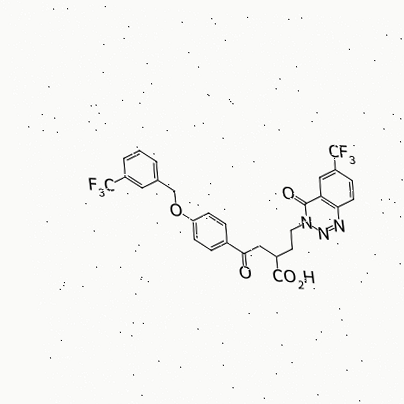 O=C(CC(CCn1nnc2ccc(C(F)(F)F)cc2c1=O)C(=O)O)c1ccc(OCc2cccc(C(F)(F)F)c2)cc1